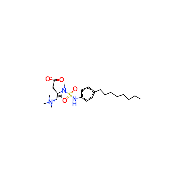 CCCCCCCCc1ccc(NS(=O)(=O)N(C)[C@H](CC(=O)[O-])C[N+](C)(C)C)cc1